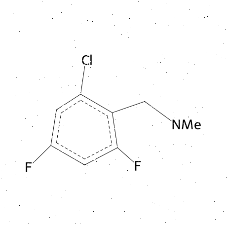 CNCc1c(F)cc(F)cc1Cl